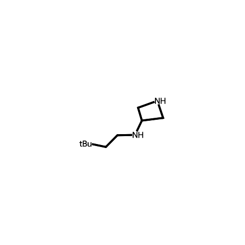 CC(C)(C)CCNC1CNC1